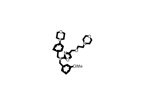 COc1cccc(CN(Cc2ccc(N3CCOCC3)cc2)c2nc(COCCN3CCOCC3)co2)c1